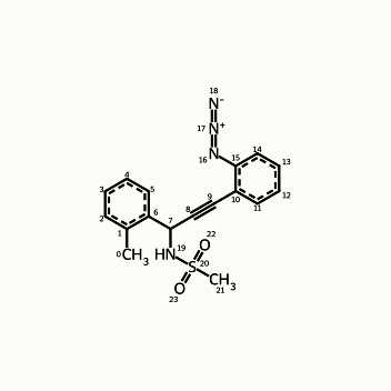 Cc1ccccc1C(C#Cc1ccccc1N=[N+]=[N-])NS(C)(=O)=O